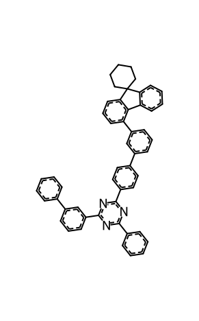 c1ccc(-c2cccc(-c3nc(-c4ccccc4)nc(-c4ccc(-c5cccc(-c6cccc7c6-c6ccccc6C76CCCCC6)c5)cc4)n3)c2)cc1